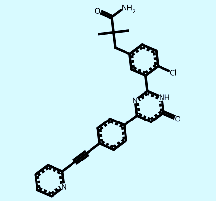 CC(C)(Cc1ccc(Cl)c(-c2nc(-c3ccc(C#Cc4ccccn4)cc3)cc(=O)[nH]2)c1)C(N)=O